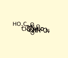 CN1CCc2ccc(NC(=O)[C@@H](CNC(=O)CCCC(=O)O)NC(=O)Oc3ccc(Cl)s3)cc2CC1